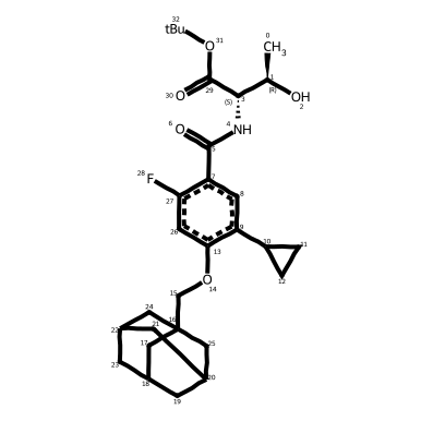 C[C@@H](O)[C@H](NC(=O)c1cc(C2CC2)c(OCC23CC4CC(CC(C4)C2)C3)cc1F)C(=O)OC(C)(C)C